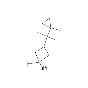 CC(C)C1(F)CC(C(C)(C)C2(C)CC2)C1